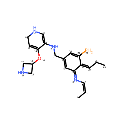 C\C=C/N=C1/C=C(CNC2=CNCC=C2OC2CNC2)C=C(P)/C1=C\CC